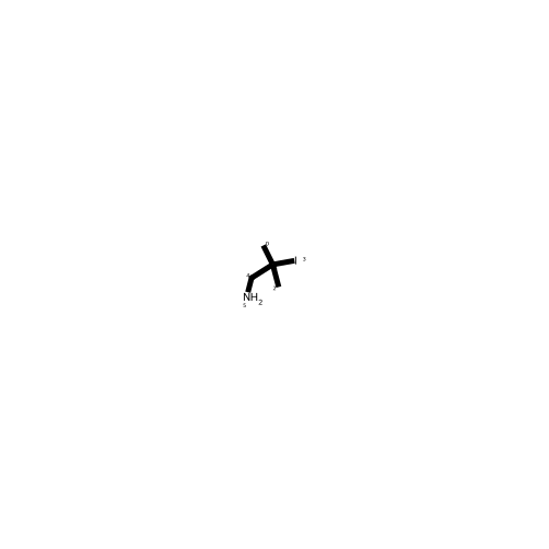 CC(C)(I)CN